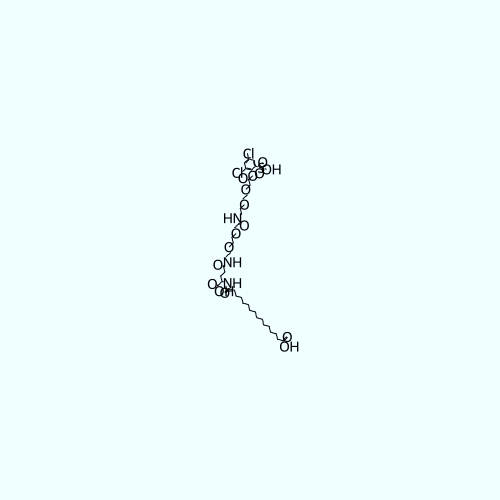 O=C(O)CCCCCCCCCCCCCCC(=O)NC(CCC(=O)NCCOCCOCC(=O)NCCOCCOCC(=O)Oc1c(Cl)cc(Cl)cc1S(=O)(=O)O)C(=O)O